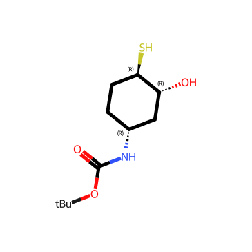 CC(C)(C)OC(=O)N[C@@H]1CC[C@@H](S)[C@H](O)C1